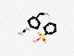 C=C.C=Cc1ccccc1.O=S(=O)(O)c1ccccc1